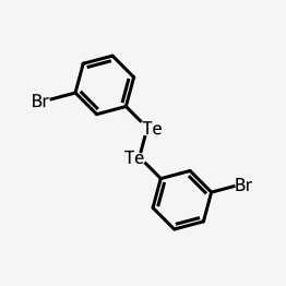 Brc1cccc([Te][Te]c2cccc(Br)c2)c1